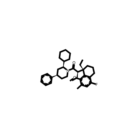 CC[C@@H](C(=O)N1CC[C@@H](c2ccccc2)C[C@H]1C1CCCCC1)[C@]1(CC)CCCc2c(F)cc(C)c(OC)c21